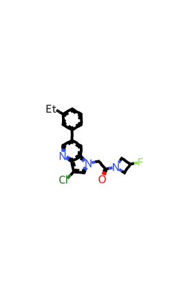 CCc1cccc(-c2cnc3c(Cl)cn(CC(=O)N4CC(F)C4)c3c2)c1